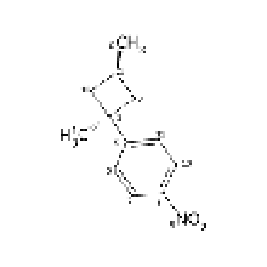 C[C@H]1C[C@@](C)(c2ccc([N+](=O)[O-])cc2)C1